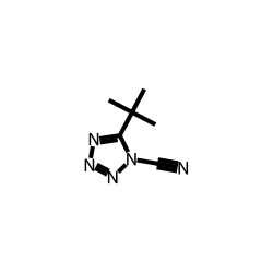 CC(C)(C)c1nnnn1C#N